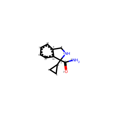 NC(=O)C1(C2CC2)NCc2ccccc21